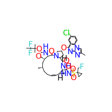 Cc1cn2c(n1)nc(O[C@@H]1C[C@H]3C(=O)N[C@]4(C(=O)NS(=O)(=O)C5(CF)CC5)C[C@H]4/C=C\CC[C@@H](C)C[C@@H](C)[C@H](NC(=O)OC(C)(C)C(C)(F)F)C(=O)N3C1)c1cc(Cl)ccc12